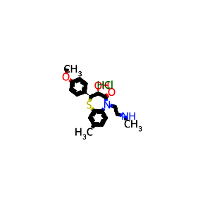 CNCCN1C(=O)[C@@H](O)[C@@H](c2ccc(OC)cc2)Sc2cc(C)ccc21.Cl